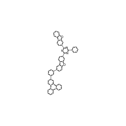 c1ccc(-c2nc(-c3ccc4c(c3)oc3ccccc34)nc(-c3ccc4c(c3)oc3ccc(-c5cccc(-c6ccc7c8ccccc8c8ccccc8c7c6)c5)cc34)n2)cc1